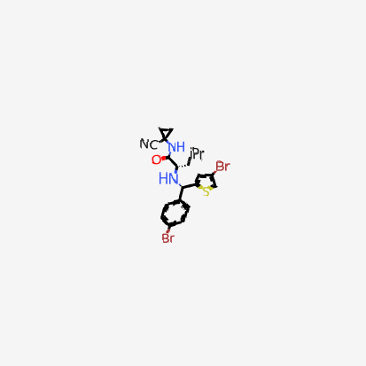 CC(C)C[C@H](N[C@@H](c1ccc(Br)cc1)c1cc(Br)cs1)C(=O)NC1(C#N)CC1